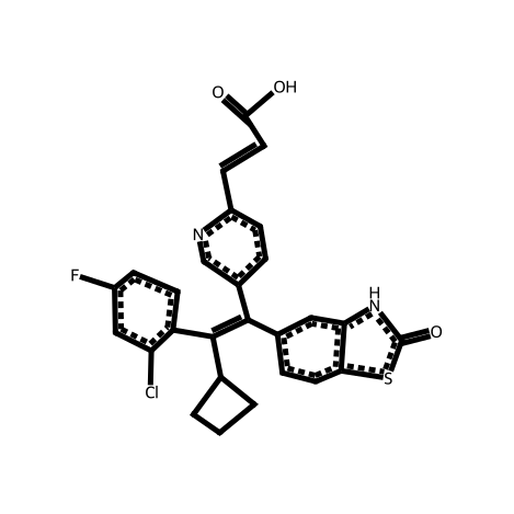 O=C(O)/C=C/c1ccc(/C(=C(\c2ccc(F)cc2Cl)C2CCC2)c2ccc3sc(=O)[nH]c3c2)cn1